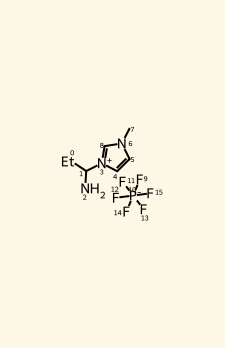 CCC(N)[n+]1ccn(C)c1.F[P-](F)(F)(F)(F)F